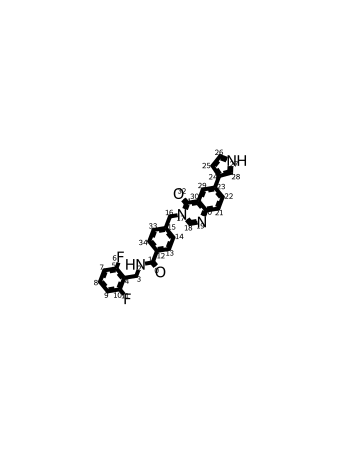 O=C(NCc1c(F)cccc1F)c1ccc(Cn2cnc3ccc(-c4cc[nH]c4)cc3c2=O)cc1